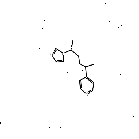 CC(CCC(C)n1ccnc1)c1ccncc1